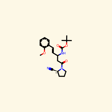 COc1ccccc1C=CC(CC(=O)N1CCC[C@H]1C#N)NC(=O)OC(C)(C)C